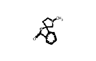 CN1CCC2(C1)OC(=O)c1ccccc12